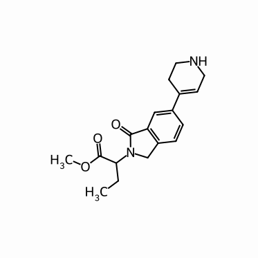 CCC(C(=O)OC)N1Cc2ccc(C3=CCNCC3)cc2C1=O